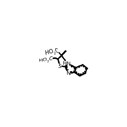 CC(C)(C(=O)O)C(Sc1nc2ccccc2[nH]1)C(=O)O